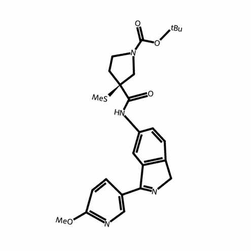 COc1ccc(C2=NCc3ccc(NC(=O)[C@]4(SC)CCN(C(=O)OC(C)(C)C)C4)cc32)cn1